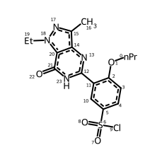 CCCOc1ccc(S(=O)(=O)Cl)cc1-c1nc2c(C)nn(CC)c2c(=O)[nH]1